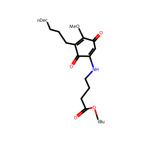 CCCCCCCCCCCCCC1=C(OC)C(=O)C=C(NCCCC(=O)OC(C)(C)C)C1=O